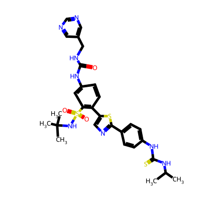 CC(C)NC(=S)Nc1ccc(-c2ncc(-c3ccc(NC(=O)NCc4cncnc4)cc3S(=O)(=O)NC(C)(C)C)s2)cc1